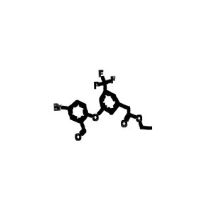 CCOC(=O)Cc1cc(Oc2ccc(Br)cc2C=O)cc(C(F)(F)F)c1